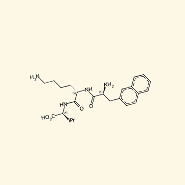 CC(C)[C@H](NC(=O)[C@H](CCCCN)NC(=O)[C@@H](N)Cc1ccc2ccccc2c1)C(=O)O